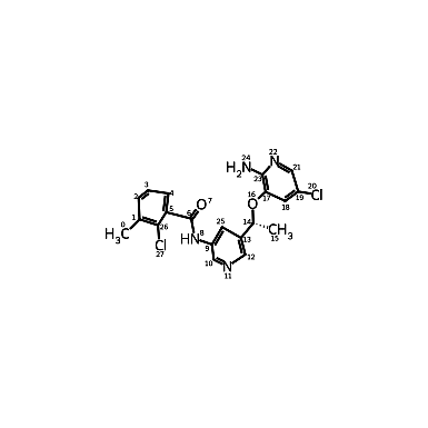 Cc1cccc(C(=O)Nc2cncc([C@@H](C)Oc3cc(Cl)cnc3N)c2)c1Cl